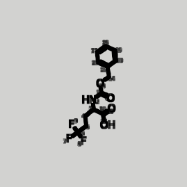 O=C(NC(CCC(F)(F)F)C(=O)O)OCc1ccccc1